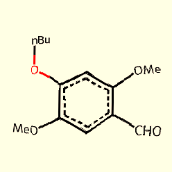 CCCCOc1cc(OC)c(C=O)cc1OC